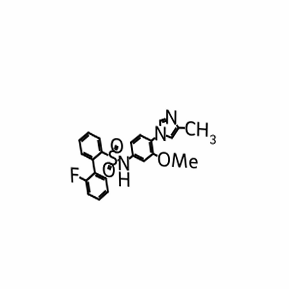 COc1cc(NS(=O)(=O)c2ccccc2-c2ccccc2F)ccc1-n1cnc(C)c1